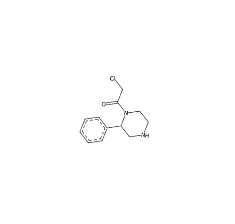 O=C(CCl)N1CCNCC1c1ccccc1